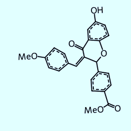 COC(=O)c1ccc(C2Oc3ccc(O)cc3C(=O)C2=Cc2ccc(OC)cc2)cc1